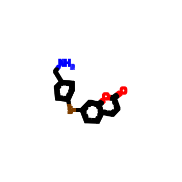 NCc1ccc(Sc2ccc3ccc(=O)oc3c2)cc1